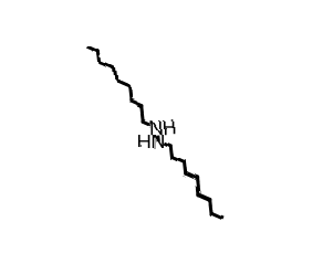 CCCCCCCCCNNCCCCCCCCC